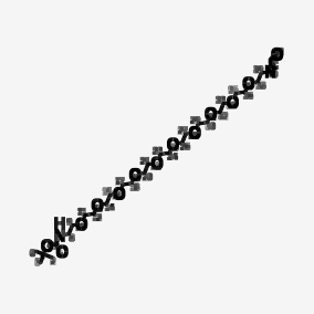 CC(C)(C)OC(=O)NCCOCCOCCOCCOCCOCCOCCOCCOCCOCCOCCN=C=O